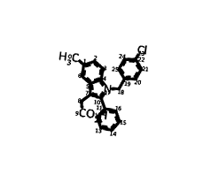 Cc1ccc2c(c1)c(CC(=O)O)c(-c1ccccc1)n2Cc1ccc(Cl)cc1